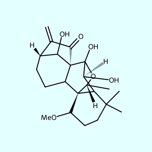 C=C1C(=O)[C@@]23C(O)[C@@H]1CCC2[C@@]12C(OC)CCC(C)(C)C1[C@H](O)C3(O)O[C@@H]2C